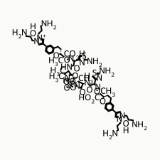 CC1(C)[C@H](NC(=O)/C(=N\O[C@](C)(C(=O)O)[C@H]2CCc3cc(-c4cn(C[C@@H](O)CN)[n+](CCCN)c4)ccc3O2)c2csc(N)n2)C(=O)N1OS(=O)(=O)ON1C(=O)[C@@H](NC(=O)/C(=N\O[C@](C)(C(=O)O)[C@H]2CCc3cc(-c4cn(C[C@@H](O)CN)[n+](CCCN)c4)ccc3O2)c2csc(N)n2)C1(C)C